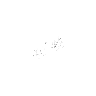 O=c1[nH]c(=S)[nH]cc1[C@H]1C[C@@H](O)[C@@H](COP(=O)(O)OP(=O)(O)OP(=O)(O)O)O1